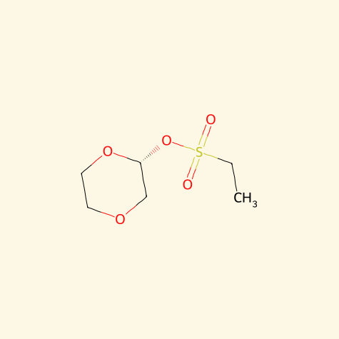 CCS(=O)(=O)O[C@@H]1COCCO1